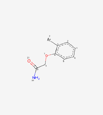 [CH2]C(=O)c1ccccc1OCC(N)=O